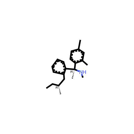 CC[C@@H](C)Cc1ccccc1[C@](C)(NC)c1ccc(C)cc1C